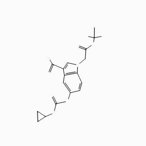 CC(C)(C)OC(=O)Cn1cc(C(N)=O)c2cc(OC(=O)NC3CC3)ccc21